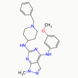 COc1cccc(Nc2nc(NC3CCN(Cc4ccccc4)CC3)nc3c2cnn3C)c1